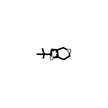 CC(C)(C)c1cc2c(o1)CCOC2